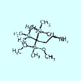 CO[Si](C)(OC)C(CCN)([Si](C)(C)C)[Si](C)(C)C